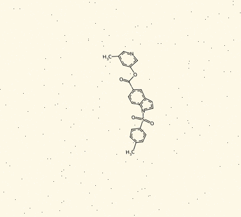 Cc1ccc(S(=O)(=O)n2ccc3cc(C(=O)Oc4cncc(C)c4)ccc32)cc1